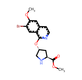 COC(=O)[C@@H]1C[C@@H](Oc2nccc3cc(OC)c(Br)cc23)CN1